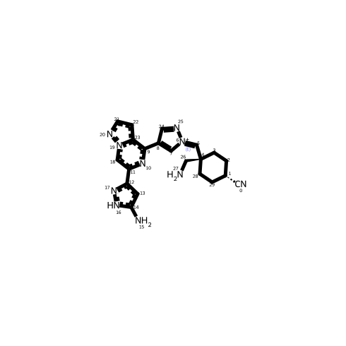 N#C[C@H]1CC[C@](/C=[N+]2\C=C(c3nc(-c4cc(N)[nH]n4)cn4nccc34)C=N2)(CN)CC1